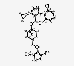 CCn1ncc(F)c1OCC12CCC(OCc3c(-c4c(Cl)cncc4Cl)noc3C3CC3)(CC1)CC2